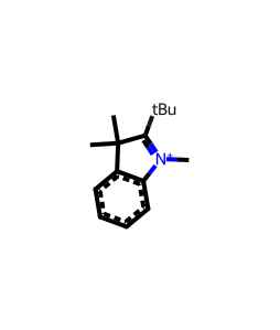 C[N+]1=C(C(C)(C)C)C(C)(C)c2ccccc21